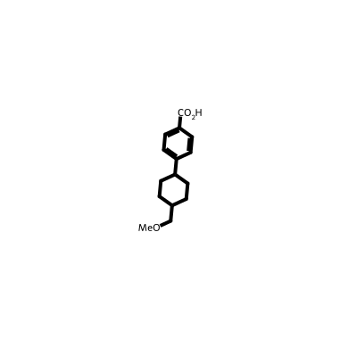 COCC1CCC(c2ccc(C(=O)O)cc2)CC1